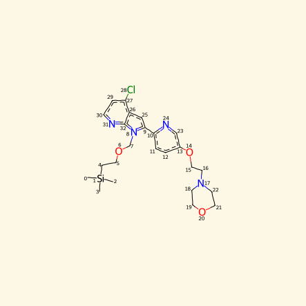 C[Si](C)(C)CCOCn1c(-c2ccc(OCCN3CCOCC3)cn2)cc2c(Cl)ccnc21